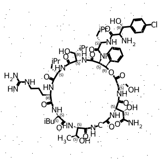 CC[C@H](C)[C@@H]1NC(=O)[C@@H](CCCNC(=N)N)NC(=O)[C@H](CC(C)C)NC(=O)[C@H]([C@H](O)C(C)C)NC(=O)[C@@H](NC(=O)[C@H](CC(C)C)NC(=O)C(N)[C@H](O)c2ccc(Cl)cc2)[C@@H](c2ccccc2)OC(=O)[C@H](CO)NC(=O)[C@H]([C@H](O)C(N)=O)NC(=O)CNC(=O)[C@H]([C@H](C)O)NC1=O